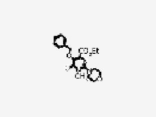 CCOC(=O)c1nc(N2CCOCC2)n(C)c(=O)c1OCc1ccccc1